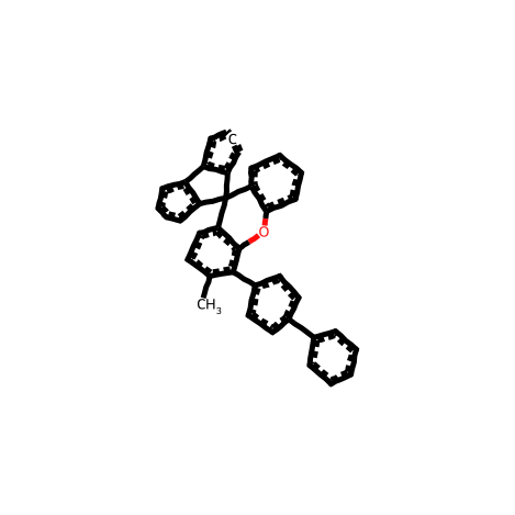 Cc1ccc2c(c1-c1ccc(-c3ccccc3)cc1)Oc1ccccc1C21c2ccccc2-c2ccccc21